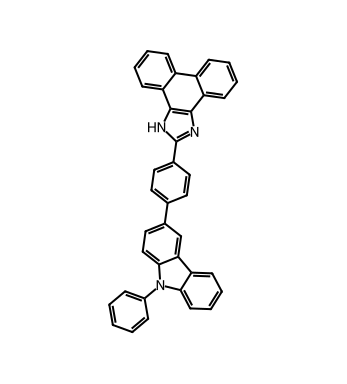 c1ccc(-n2c3ccccc3c3cc(-c4ccc(-c5nc6c7ccccc7c7ccccc7c6[nH]5)cc4)ccc32)cc1